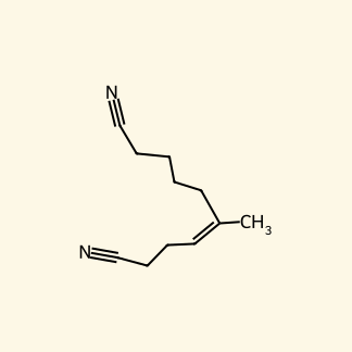 CC(=CCCC#N)CCCCC#N